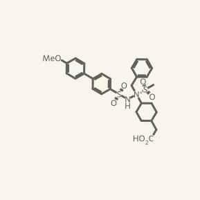 COc1ccc(-c2ccc(S(=O)(=O)N[N+](Cc3ccccc3)(C3CCC(CC(=O)O)CC3)S(C)(=O)=O)cc2)cc1